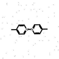 Cc1cc[n+](-[n+]2ccc(C)cc2)cc1